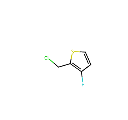 Fc1ccsc1CCl